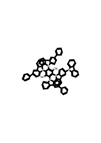 N#Cc1c(-n2c3ccccc3c3cc(-c4ccccc4)ccc32)c(-n2c3ccccc3c3cc(-c4ccccc4)ccc32)c(C#N)c(-n2c3ccccc3c3cc(-n4c5ccccc5c5ccccc54)ccc32)c1-n1c2ccccc2c2cc(-c3ccccc3)ccc21